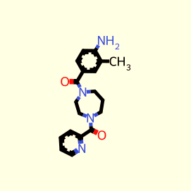 Cc1cc(C(=O)N2CCCN(C(=O)c3ccccn3)CC2)ccc1N